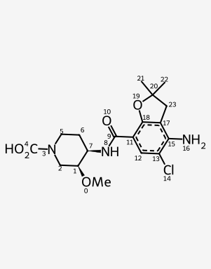 CO[C@H]1CN(C(=O)O)CC[C@H]1NC(=O)c1cc(Cl)c(N)c2c1OC(C)(C)C2